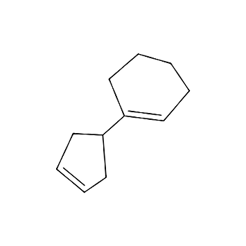 C1=CCC(C2=CCCCC2)C1